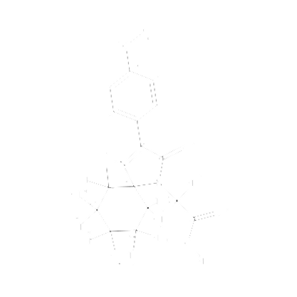 [2H]OC(=O)C([2H])([2H])N1C(=O)C(c2ccc(OC(F)(F)F)cc2)=NC12C([2H])([2H])C([2H])([2H])C([2H])([2H])C([2H])([2H])C2([2H])[2H]